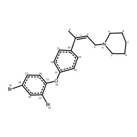 C/C(=C/CN1CCCCC1)c1ccc(Oc2ccc(Br)cc2Br)cc1